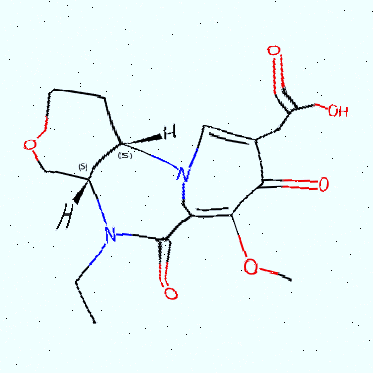 CCN1C(=O)c2c(OC)c(=O)c(C(=O)O)cn2[C@H]2CCOC[C@H]21